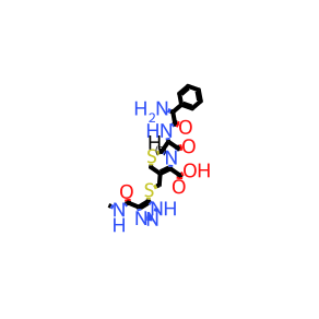 CNC(=O)c1nn[nH]c1SCC1=C(C(=O)O)N2C(=O)C(NC(=O)C(N)c3ccccc3)[C@@H]2SC1